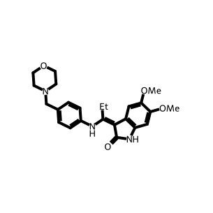 CC/C(Nc1ccc(CN2CCOCC2)cc1)=C1/C(=O)Nc2cc(OC)c(OC)cc21